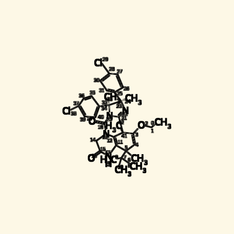 CCOC1=CC(C)(C(C)(C)C)C2=C3N(CC(=O)N2)C(=O)N2C(=N[C@](C)(c4ccc(Cl)cc4)[C@]2(C)c2ccc(Cl)cc2)C13C